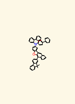 CC1(C)c2ccccc2-c2ccc(-c3c4ccccc4cc4c3oc3ccc(N(c5ccc(-c6ccccc6)cc5)c5ccccc5-c5ccccc5)cc34)cc21